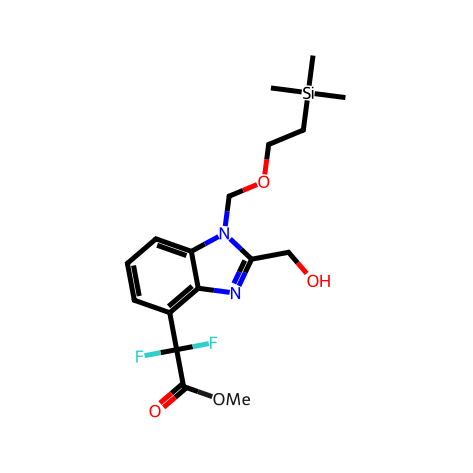 COC(=O)C(F)(F)c1cccc2c1nc(CO)n2COCC[Si](C)(C)C